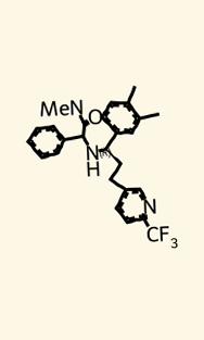 CNC(=O)C(N[C@H](CCc1ccc(C(F)(F)F)nc1)c1ccc(C)c(C)c1)c1ccccc1